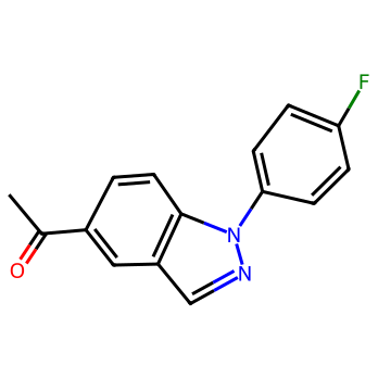 CC(=O)c1ccc2c(cnn2-c2ccc(F)cc2)c1